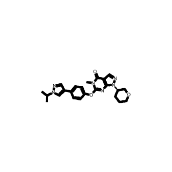 CC(C)n1cc(-c2ccc(Oc3nc4c(cnn4[C@@H]4CCCOC4)c(=O)n3C)cc2)cn1